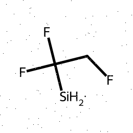 FCC(F)(F)[SiH2]